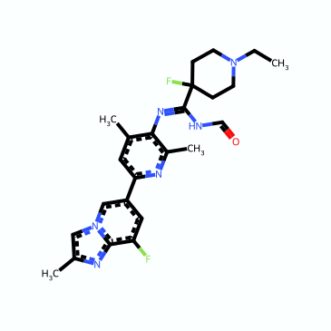 CCN1CCC(F)(/C(=N/c2c(C)cc(-c3cc(F)c4nc(C)cn4c3)nc2C)NC=O)CC1